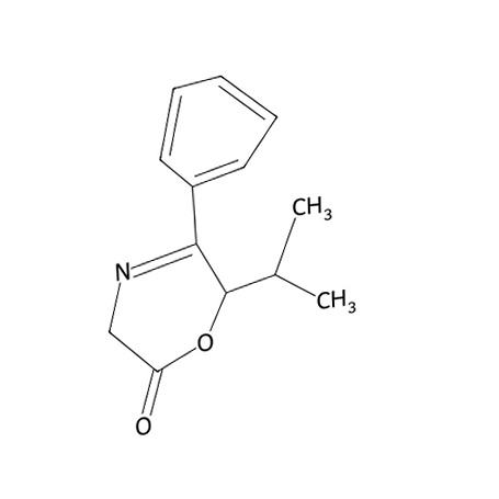 CC(C)C1OC(=O)CN=C1c1ccccc1